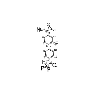 N#CC1(c2ccc(-c3ccc(C(=O)C(F)(F)F)cc3)c(F)c2)CC1